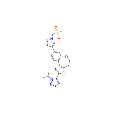 CC(C)n1ncnc1-c1nc2c(s1)CCOc1cc(-c3cnn(CS(C)(=O)=O)c3)ccc1-2